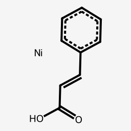 O=C(O)/C=C/c1ccccc1.[Ni]